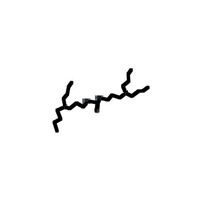 CCCCN(CCCC)CCCNC(=O)NCCCN(CCCC)CCCC